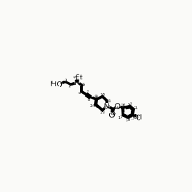 CCN(CCO)CCC#CC1CCN(C(=O)Oc2ccc(Cl)cc2)CC1